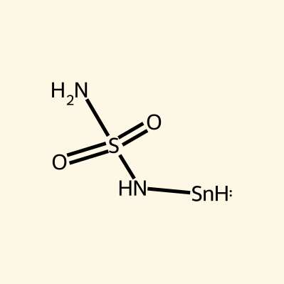 NS(=O)(=O)[NH][SnH]